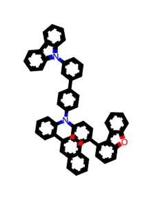 c1cc(-c2ccc(N(c3ccc(-c4cccc5oc6ccccc6c45)cc3)c3ccccc3-c3ccc4ccccc4c3)cc2)cc(-n2c3ccccc3c3ccccc32)c1